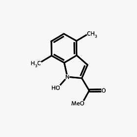 COC(=O)c1cc2c(C)ccc(C)c2n1O